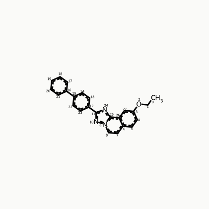 CCOc1ccc2ccn3nc(-c4ccc(-c5ccccc5)cc4)nc3c2c1